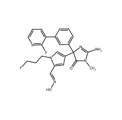 CN1C(=O)C(c2cccc(-c3cccnc3F)c2)(c2cc(/C=N/O)n(CCCF)c2)N=C1N